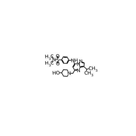 CC(C)c1cnn2c(Nc3ccc(S(=O)(=O)N(C)C)cc3)cc(CN3CCC(O)CC3)nc12